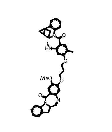 COc1cc2c(cc1OCCCOc1cc3c(cc1C)C(=O)N1c4ccccc4C45CC4[C@@]1(CN3)C5)N=CC1Cc3ccccc3N1C2=O